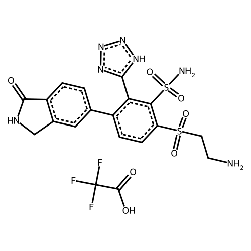 NCCS(=O)(=O)c1ccc(-c2ccc3c(c2)CNC3=O)c(-c2nnn[nH]2)c1S(N)(=O)=O.O=C(O)C(F)(F)F